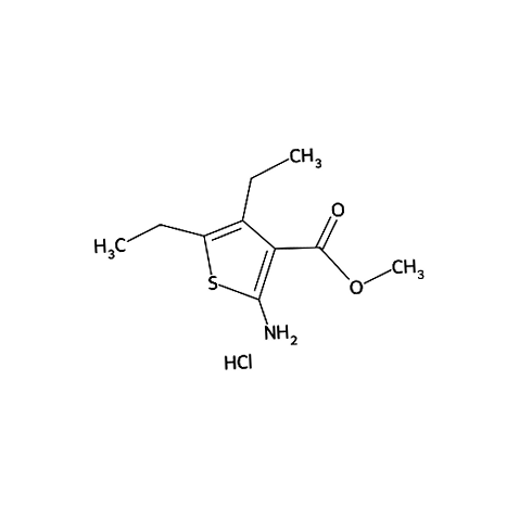 CCc1sc(N)c(C(=O)OC)c1CC.Cl